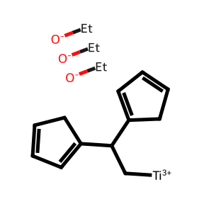 CC[O-].CC[O-].CC[O-].[Ti+3][CH2]C(C1=CC=CC1)C1=CC=CC1